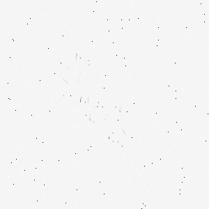 Cc1ccc2[nH]ccc2c1CNc1ncc(-c2cc(C3CC3)[nH]n2)c(N)n1